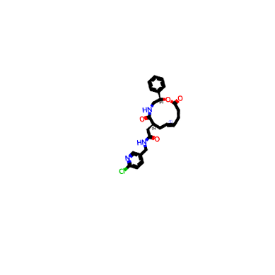 O=C(C[C@@H]1C/C=C/CCC(=O)O[C@H](c2ccccc2)CNC1=O)NCc1ccc(Cl)nc1